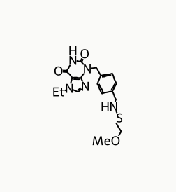 CCn1cnc2c1c(=O)[nH]c(=O)n2Cc1ccc(CNSCCOC)cc1